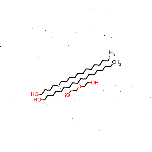 CCCCCCCCCCCCCCCCCCO.CCCCCCCCCCCCCCCCCCO.OCCOCCO